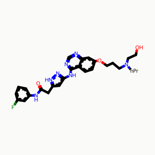 CCCN(CCO)CCCOc1ccc2c(Nc3cc(CC(=O)Nc4cccc(F)c4)[nH]n3)ncnc2c1